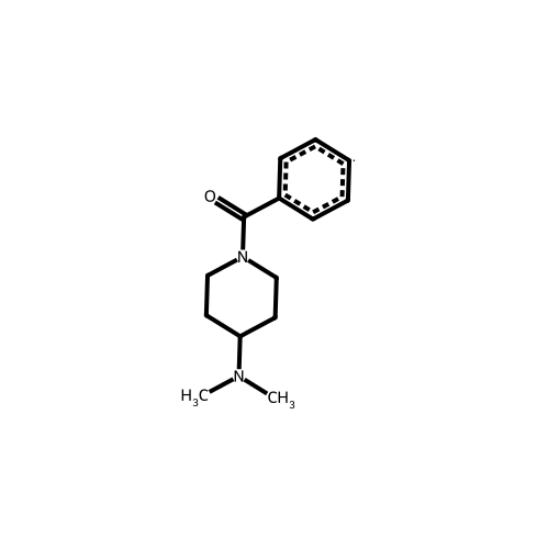 CN(C)C1CCN(C(=O)c2cc[c]cc2)CC1